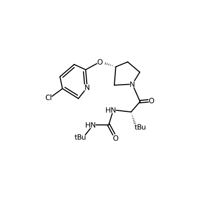 CC(C)(C)NC(=O)N[C@H](C(=O)N1CC[C@@H](Oc2ccc(Cl)cn2)C1)C(C)(C)C